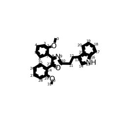 COc1ccccc1-c1nc(CCc2c[nH]c3ccccc23)oc1-c1ccccc1OC